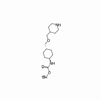 CC(C)(C)OC(=O)N[C@H]1CC[C@H](COCC2CCNCC2)CC1